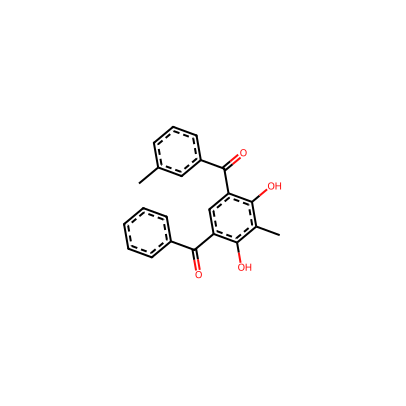 Cc1cccc(C(=O)c2cc(C(=O)c3ccccc3)c(O)c(C)c2O)c1